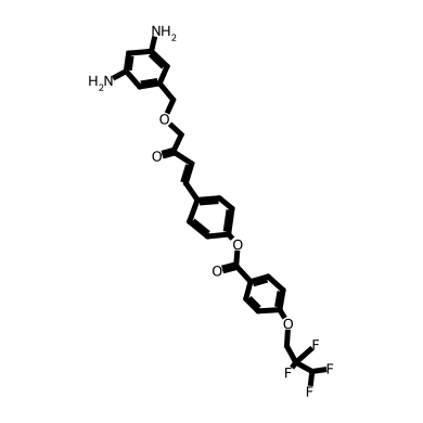 Nc1cc(N)cc(COCC(=O)/C=C/c2ccc(OC(=O)c3ccc(OCC(F)(F)C(F)F)cc3)cc2)c1